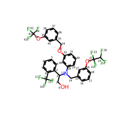 OCC(c1ccccc1C(F)(F)F)N(Cc1cccc(OC(F)(F)C(F)F)c1)c1cccc(OCc2cccc(OC(F)(F)F)c2)c1